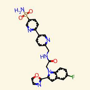 NS(=O)(=O)c1ccc(-c2ccc(CNC(=O)Cn3c(-c4ncco4)cc4cc(F)ccc43)nc2)nc1